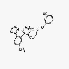 Cc1ccc(-n2nccn2)c(C(=O)N2CCC[C@@H](COc3cccc(Br)n3)[C@@H]2C)c1